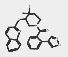 O=C(c1ccccc1-c1cn[nH]c1)N1CCC(F)(F)C(Oc2ccc3ccccc3n2)C1